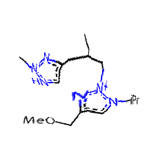 COCc1cn(C(C)C)[n+](CC(C)c2c[nH][n+](C)n2)n1